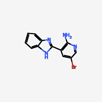 Nc1ncc(Br)cc1-c1nc2ccccc2[nH]1